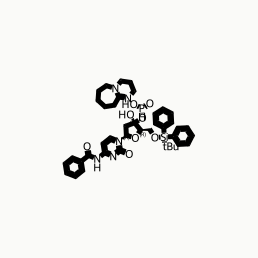 C1CCC2=NCCCN2CC1.CC(C)(C)[Si](OC[C@H]1O[C@@H](n2ccc(NC(=O)c3ccccc3)nc2=O)C[C@]1(O)O[PH](=O)O)(c1ccccc1)c1ccccc1